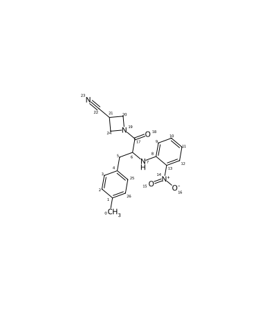 Cc1ccc(CC(Nc2ccccc2[N+](=O)[O-])C(=O)N2CC(C#N)C2)cc1